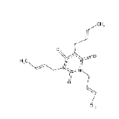 CC=CCn1c(=O)n(CC=CC)c(=O)n(CC=CC)c1=O